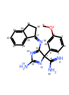 COc1cccc(C2(C(=N)N)N=C(N)N=C2N=C2CCc3ccccc32)c1